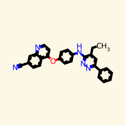 CCc1cc(-c2ccccc2)nnc1Nc1ccc(Oc2ccnc3cc(C#N)ccc23)cc1